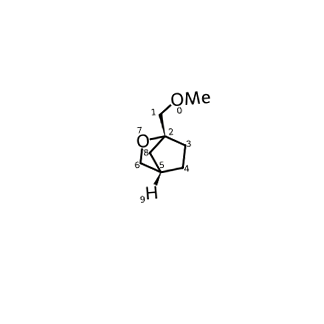 COC[C@]12CC[C@H](CO1)C2